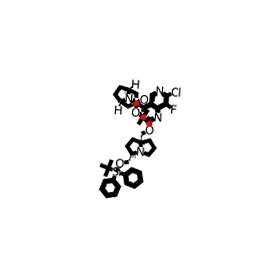 CC(C)(C)OC(=O)N1[C@@H]2CC[C@H]1CN(c1nc(OC[C@]34CCCN3[C@H](CO[Si](c3ccccc3)(c3ccccc3)C(C)(C)C)CC4)nc3c(F)c(Cl)ncc13)C2